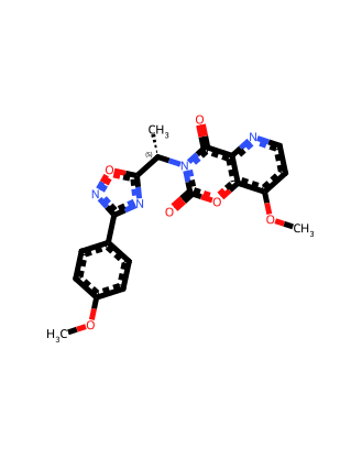 COc1ccc(-c2noc([C@H](C)n3c(=O)oc4c(OC)ccnc4c3=O)n2)cc1